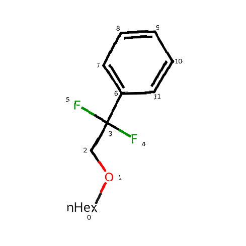 CCCCCCOCC(F)(F)c1ccccc1